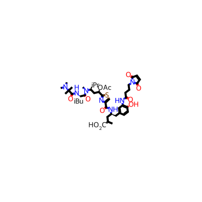 CC[C@H](C)[C@H](NC(=O)C(C)(C)N(C)C)C(=O)N(C)[C@H](C[C@@H](OC(C)=O)c1nc(C(=O)N[C@@H](Cc2ccc(O)c(NC(=O)CCCN3C(=O)C=CC3=O)c2)CC(C)C(=O)O)cs1)C(C)C